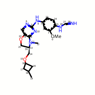 COc1cc(Nc2ncc3c(n2)N(C)[C@@H](COC2CC(C)C2)CO3)ccc1NC=N